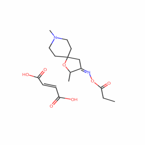 CCC(=O)ON=C1CC2(CCN(C)CC2)OC1C.O=C(O)C=CC(=O)O